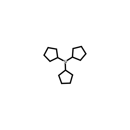 C1CCC([Si](C2CCCC2)C2CCCC2)C1